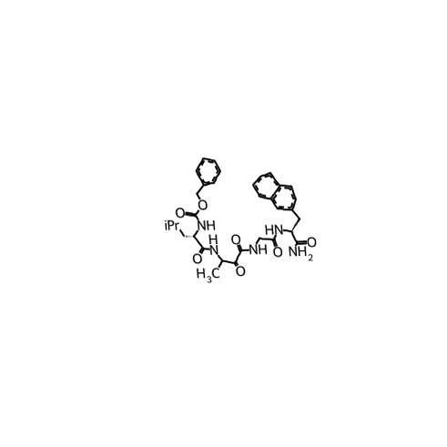 CC(C)C[C@H](NC(=O)OCc1ccccc1)C(=O)NC(C)C(=O)C(=O)NCC(=O)N[C@@H](Cc1ccc2ccccc2c1)C(N)=O